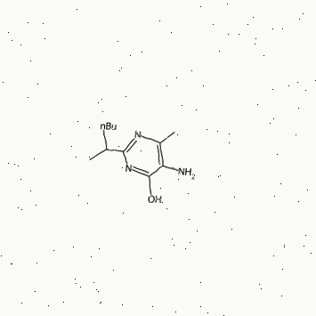 CCCCC(C)c1nc(C)c(N)c(O)n1